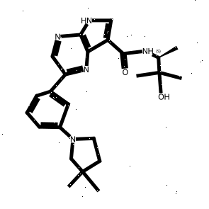 C[C@H](NC(=O)c1c[nH]c2ncc(-c3cccc(N4CCC(C)(C)C4)c3)nc12)C(C)(C)O